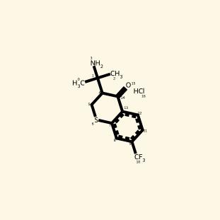 CC(C)(N)C1CSc2cc(C(F)(F)F)ccc2C1=O.Cl